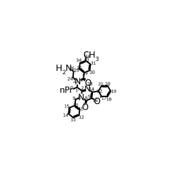 CCCC(c1nc2c(c(=O)n1Cc1ccccc1)OC1C=CC=CC21)N(CCN)C(=O)c1ccc(C)cc1